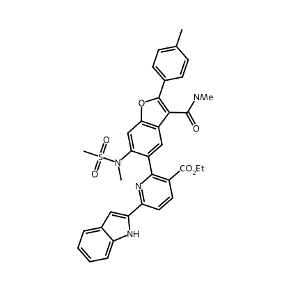 CCOC(=O)c1ccc(-c2cc3ccccc3[nH]2)nc1-c1cc2c(C(=O)NC)c(-c3ccc(C)cc3)oc2cc1N(C)S(C)(=O)=O